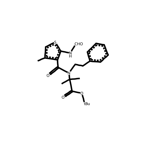 Cc1csc(NC=O)c1C(=O)N(CCc1ccccc1)C(C)(C)C(=O)OC(C)(C)C